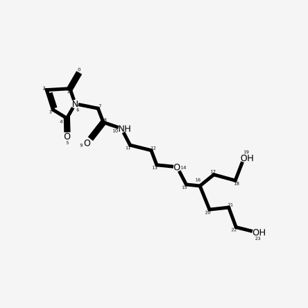 C=C1C=CC(=O)N1CC(=O)NCCCOCC(CCO)CCCO